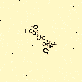 Cc1cccc(COC2CCC[C@H](OCCN(CCC(C)(C)C)C(=O)Nc3cccc(F)c3)C2)c1C(=O)O